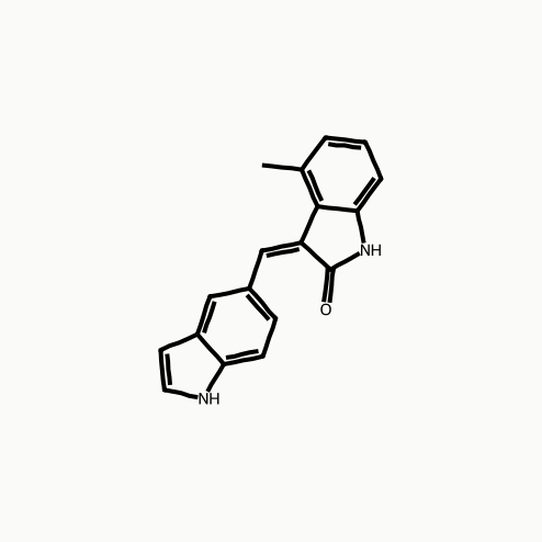 Cc1cccc2c1/C(=C/c1ccc3[nH]ccc3c1)C(=O)N2